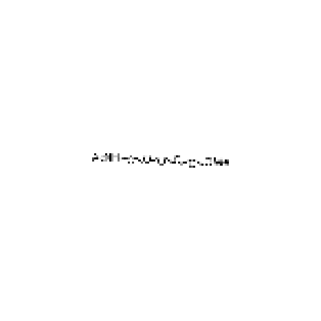 COCCOCCOCCOCCOCCOCCNC(C)=O